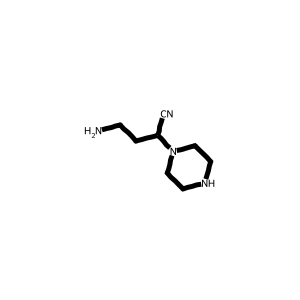 N#CC(CCN)N1CCNCC1